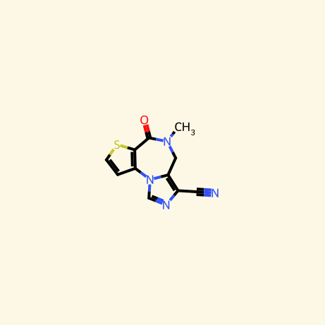 CN1Cc2c(C#N)ncn2-c2ccsc2C1=O